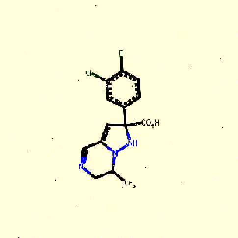 O=C(O)C1(c2ccc(F)c(Cl)c2)C=C2C=NCC(C(F)(F)F)N2N1